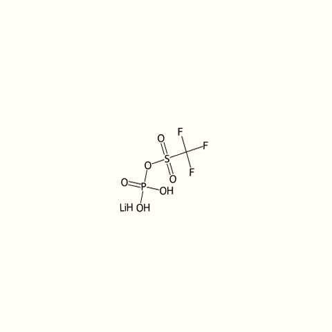 O=P(O)(O)OS(=O)(=O)C(F)(F)F.[LiH]